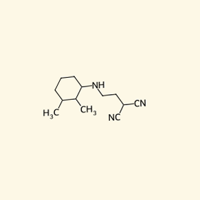 CC1CCCC(NCCC(C#N)C#N)C1C